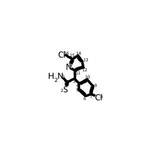 NC(=S)C(c1ccc(Cl)cc1)c1cccc(Cl)n1